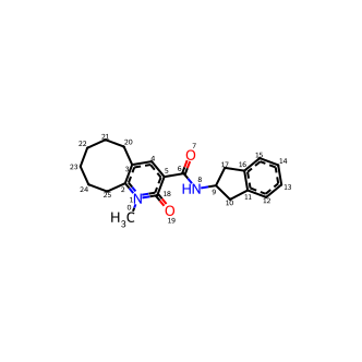 Cn1c2c(cc(C(=O)NC3Cc4ccccc4C3)c1=O)CCCCCC2